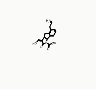 C=CCc1cccc2c1CC1/C(=C/O)C(=O)N(C(=O)O)C21